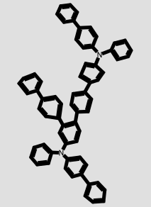 c1ccc(-c2ccc(-c3cc(N(c4ccccc4)c4ccc(-c5ccccc5)cc4)ccc3-c3ccc(-c4ccc(N(c5ccccc5)c5ccc(-c6ccccc6)cc5)cc4)cc3)cc2)cc1